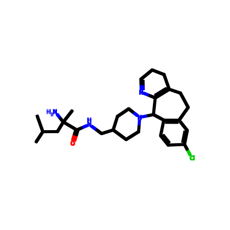 CC(C)CC(C)(N)C(=O)NCC1CCN(C2C3=C(CCC=N3)CCc3cc(Cl)ccc32)CC1